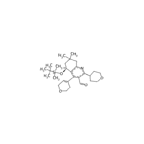 CC1(C)Cc2nc(C3CCOCC3)c(C=O)c(C3=CCOCC3)c2[C@@H](O[Si](C)(C)C(C)(C)C)C1